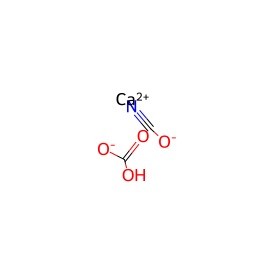 N#C[O-].O=C([O-])O.[Ca+2]